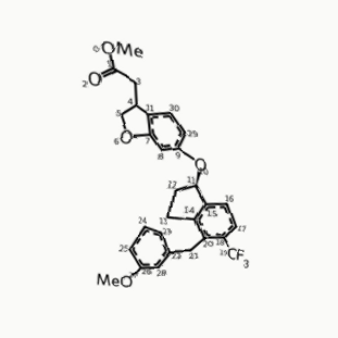 COC(=O)CC1COc2cc(O[C@@H]3CCc4c3ccc(C(F)(F)F)c4Cc3cccc(OC)c3)ccc21